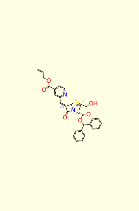 C=CCOC(=O)c1ccnc(/C=C2/C(=O)N3C2S[C@@](C)(CO)[C@@H]3C(=O)OC(c2ccccc2)c2ccccc2)c1